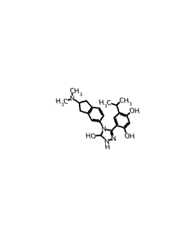 CC(C)c1cc(C2=NNC(O)N2c2ccc3c(c2)CC(N(C)C)C3)c(O)cc1O